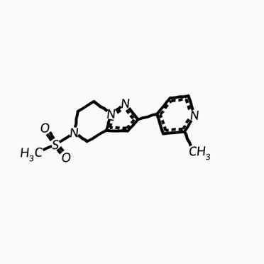 Cc1cc(-c2cc3n(n2)CCN(S(C)(=O)=O)C3)ccn1